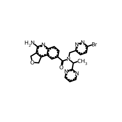 CC(c1ncccn1)N(Cc1ccc(Br)nn1)C(=O)c1ccc2nc(N)c3c(c2c1)COC3